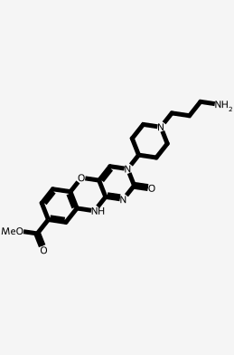 COC(=O)c1ccc2c(c1)Nc1nc(=O)n(C3CCN(CCCN)CC3)cc1O2